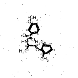 COc1cccc(S(=O)(=O)NC(C)COc2c(C)cccc2C)c1